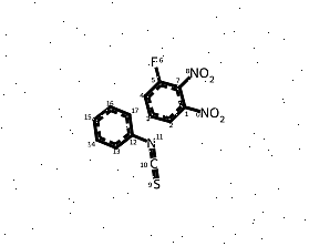 O=[N+]([O-])c1cccc(F)c1[N+](=O)[O-].S=C=Nc1ccccc1